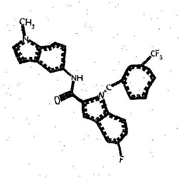 Cn1ccc2cc(NC(=O)c3cc4cc(F)ccc4n3Cc3cccc(C(F)(F)F)c3)ccc21